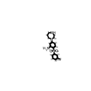 Nc1cc(N2CCCNCC2)ccc1S(=O)(=O)c1cccc(F)c1